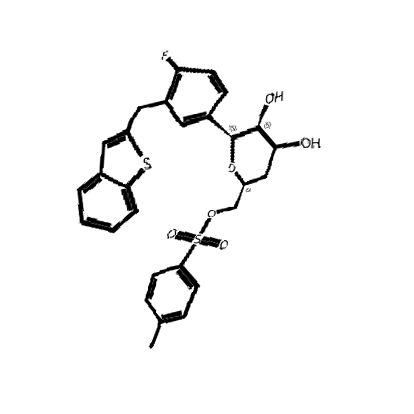 Cc1ccc(S(=O)(=O)OC[C@@H]2CC(O)[C@H](O)[C@H](c3ccc(F)c(Cc4cc5ccccc5s4)c3)O2)cc1